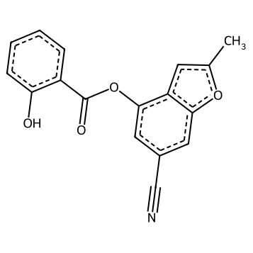 Cc1cc2c(OC(=O)c3ccccc3O)cc(C#N)cc2o1